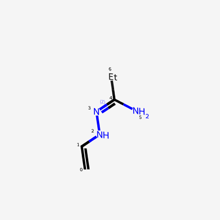 C=CN/N=C(\N)CC